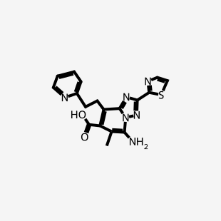 Cc1c(C(=O)O)c(CCc2ccccn2)c2nc(-c3nccs3)nn2c1N